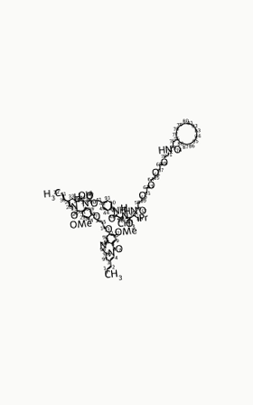 C/C=C/C1=CN2C(=O)c3cc(OC)c(OCCCOc4cc5c(cc4OC)C(=O)N4C=C(/C=C/C)C[C@H]4[C@H](O)N5C(=O)OCc4ccc(NC(=O)[C@H](C)NC(=O)[C@@H](NC(=O)CCOCCOCCOCCOCCNC(=O)CC5CCCCCCCCCCCC5)C(C)C)cc4)cc3N=CC2C1